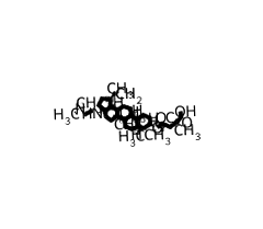 C=C(C)[C@@H]1CC[C@]2(NCCN(C)C)CC[C@]3(C)C(CC[C@@H]4[C@@]5(C)CC[C@H](OC(=O)CC(C)(C)C(=O)O)C(C)(C)[C@@H]5CC[C@]43C)[C@@H]12